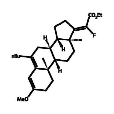 CCCCC1=C2C=C(OC)CC[C@]2(C)[C@H]2CC[C@]3(C)C(=C(F)C(=O)OCC)CC[C@H]3[C@@H]2C1